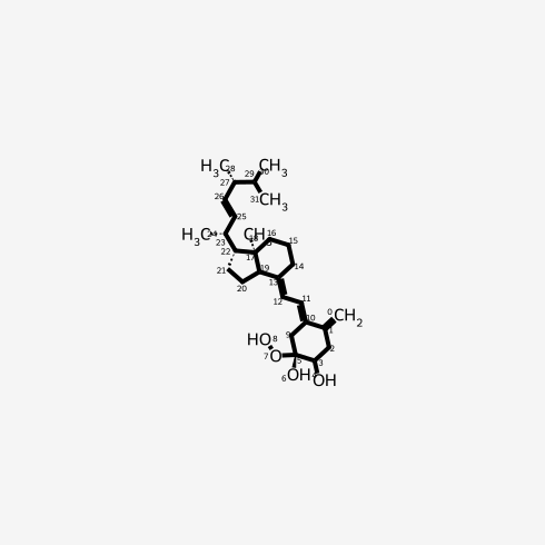 C=C1CC(O)[C@](O)(OO)CC1=CC=C1CCC[C@@]2(C)C1CC[C@@H]2[C@H](C)C=C[C@H](C)C(C)C